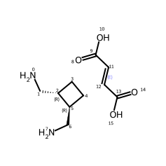 NC[C@@H]1CC[C@H]1CN.O=C(O)/C=C/C(=O)O